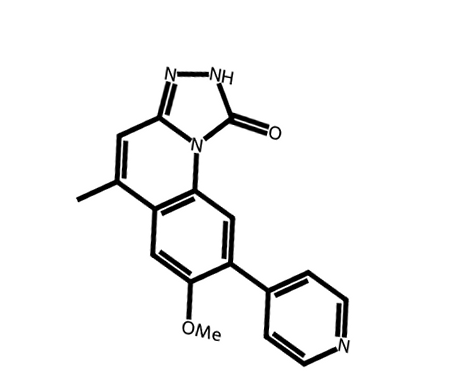 COc1cc2c(C)cc3n[nH]c(=O)n3c2cc1-c1ccncc1